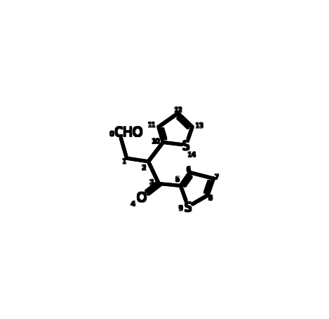 O=CCC(C(=O)c1cccs1)c1cccs1